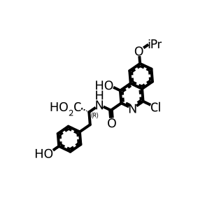 CC(C)Oc1ccc2c(Cl)nc(C(=O)N[C@H](Cc3ccc(O)cc3)C(=O)O)c(O)c2c1